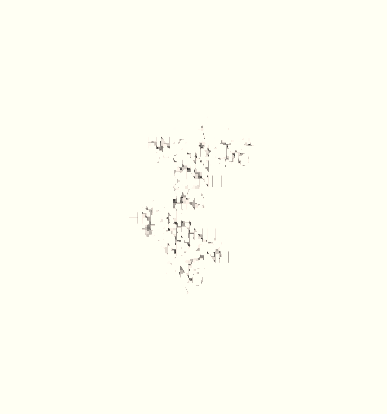 C=CC(=O)N1C(C)(C)CC(N(CCCC)c2nc(NC3CC(C)(C)NC(C)(C)C3)nc(N(CCCCCCN(c3nc(NC4CC(C)(C)NC(C)(C)C4)nc(N(CCCC)C4CC(C)(C)N(C(=O)C=C)C(C)(C)C4)n3)C3CC(C)(C)NC(C)(C)C3)C3CC(C)(C)NC(C)(C)C3)n2)CC1(C)C